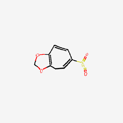 O=[SH](=O)c1ccc2c(c1)OCO2